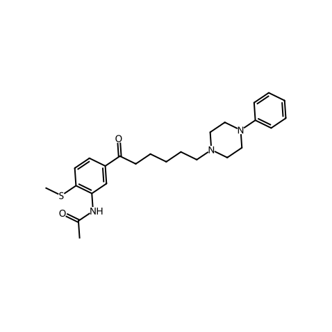 CSc1ccc(C(=O)CCCCCN2CCN(c3ccccc3)CC2)cc1NC(C)=O